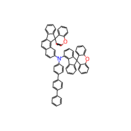 c1ccc(-c2ccc(-c3ccc(N(c4ccc5ccc6c(c5c4)C4(c5ccccc5Oc5ccccc54)c4ccccc4-6)c4cccc5c4-c4ccccc4C54c5ccccc5Oc5ccccc54)cc3)cc2)cc1